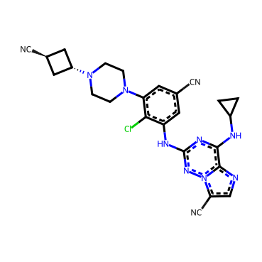 N#Cc1cc(Nc2nc(NC3CC3)c3ncc(C#N)n3n2)c(Cl)c(N2CCN([C@H]3C[C@H](C#N)C3)CC2)c1